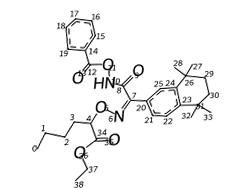 CCCCC(ON=C(C(=O)NOC(=O)c1ccccc1)c1ccc2c(c1)C(C)(C)CCC2(C)C)C(=O)OCC